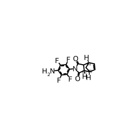 Nc1c(F)c(F)c(N2C(=O)C3[C@@H]4C=C[C@@H](C4)[C@@H]3C2=O)c(F)c1F